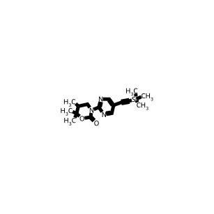 CC1CN(c2ncc(C#C[Si](C)(C)C)cn2)C(=O)OC1(C)C